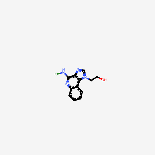 OCCn1cnc2c(NCl)nc3ccccc3c21